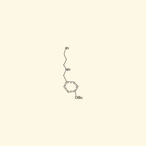 CC(C)CCCNCc1ccc(OCC(C)C)cc1